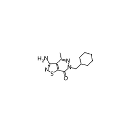 Cc1nn(CC2CCCCC2)c(=O)c2snc(N)c12